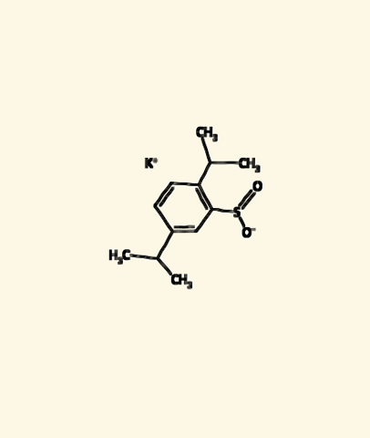 CC(C)c1ccc(C(C)C)c(S(=O)[O-])c1.[K+]